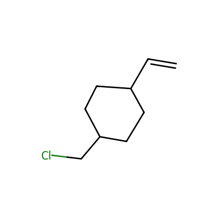 C=CC1CCC(CCl)CC1